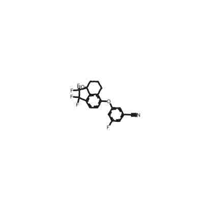 N#Cc1cc(F)cc(Oc2ccc3c4c2CCCC4(O)C(F)(F)C3(F)F)c1